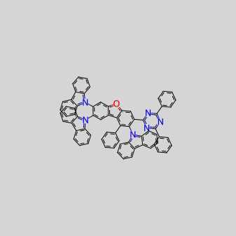 c1ccc(-c2nc(-c3ccccc3)nc(-c3cc4oc5cc(-n6c7ccccc7c7ccccc76)c(-n6c7ccccc7c7ccccc76)cc5c4c(-c4ccccc4)c3-n3c4ccccc4c4ccccc43)n2)cc1